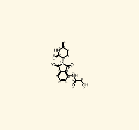 C=C1CCC(N2C(=O)c3cccc(NC(=O)CO)c3C2=O)C(=O)N1